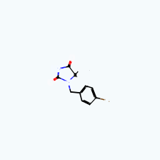 CC1(C)C(=O)NC(=O)N1Cc1ccc(Br)cc1